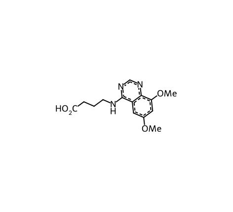 COc1cc(OC)c2ncnc(NCCCC(=O)O)c2c1